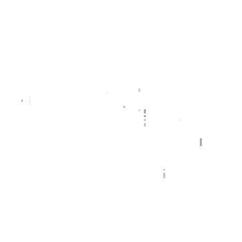 CC(=NNC(=O)c1ccc(C(=O)N2CCC(O)C2)s1)c1csc(-c2ccc(Cl)c(Cl)c2)c1O